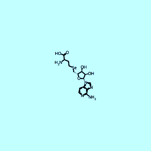 Nc1nccc2c1ncn2[C@@H]1O[C@H](C[Se]CCC(N)C(=O)O)[C@@H](O)[C@H]1O